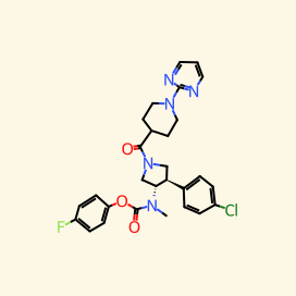 CN(C(=O)Oc1ccc(F)cc1)[C@@H]1CN(C(=O)C2CCN(c3ncccn3)CC2)C[C@H]1c1ccc(Cl)cc1